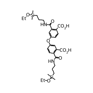 CCO[Si](C)(C)CCCNC(=O)c1ccc(Oc2ccc(C(=O)O)c(C(=O)NCCC[Si](C)(C)OCC)c2)cc1C(=O)O